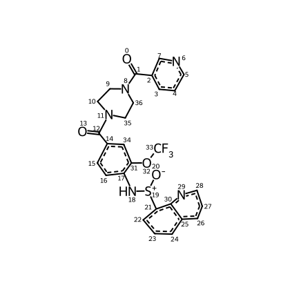 O=C(c1cccnc1)N1CCN(C(=O)c2ccc(N[S+]([O-])c3cccc4cccnc34)c(OC(F)(F)F)c2)CC1